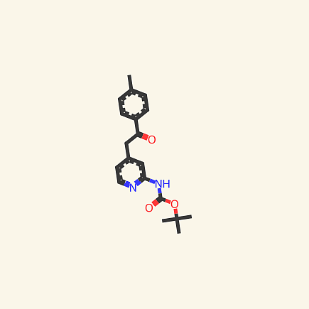 Cc1ccc(C(=O)Cc2ccnc(NC(=O)OC(C)(C)C)c2)cc1